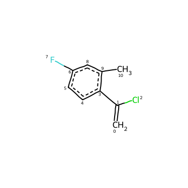 C=C(Cl)c1ccc(F)cc1C